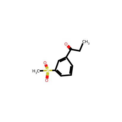 CCC(=O)c1cccc(S(C)(=O)=O)c1